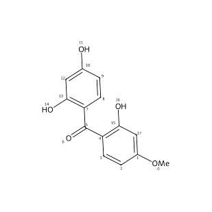 COc1ccc(C(=O)c2ccc(O)cc2O)c(O)c1